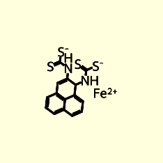 S=C([S-])NC1=Cc2cccc3cccc(c23)C1NC(=S)[S-].[Fe+2]